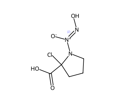 O=C(O)C1(Cl)CCCN1/[N+]([O-])=N/O